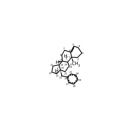 C[C@]12CCCC=C1CC[C@H]1[C@@H]3CCC[C@@]3(Cc3ccccc3)CC[C@@H]12